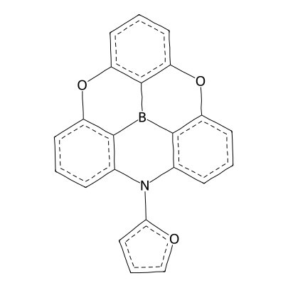 c1coc(N2c3cccc4c3B3c5c(cccc5Oc5cccc2c53)O4)c1